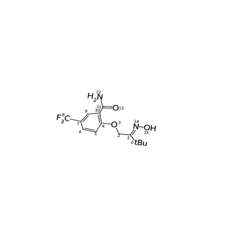 CC(C)(C)C(COc1ccc(C(F)(F)F)cc1C(N)=O)=NO